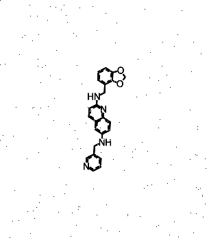 c1cncc(CNc2ccc3nc(NCc4cccc5c4OCO5)ccc3c2)c1